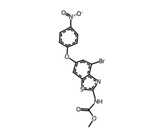 COC(=O)Nc1nc2c(Br)cc(Oc3ccc([N+](=O)[O-])cc3)cc2s1